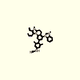 C=CC1=C(/C=C\C)N2c3cc(-c4c(C)cc(NC#N)cc4C)cc(N4CN(C)c5ccccc54)c3CCC2N1C